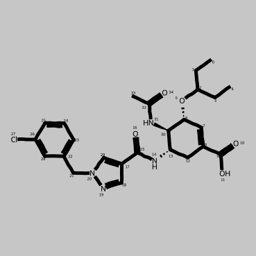 CCC(CC)O[C@@H]1C=C(C(=O)O)C[C@H](NC(=O)c2cnn(Cc3cccc(Cl)c3)c2)[C@H]1NC(C)=O